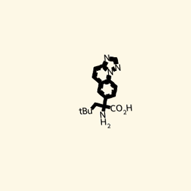 CC(C)(C)CC(N)(C(=O)O)c1ccc2c(ccc3ncnn32)c1